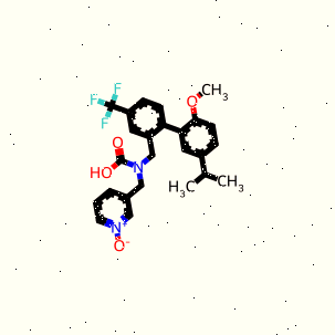 COc1ccc(C(C)C)cc1-c1ccc(C(F)(F)F)cc1CN(Cc1ccc[n+]([O-])c1)C(=O)O